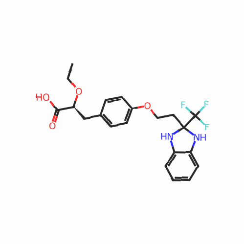 CCO[C@@H](Cc1ccc(OCCC2(C(F)(F)F)Nc3ccccc3N2)cc1)C(=O)O